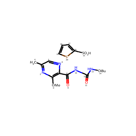 COc1nc(C)cnc1C(=O)NC(=O)NOCC(C)C.O=S(=O)(O)c1cccs1